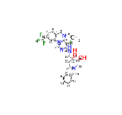 CCN(Cc1ccc(C(F)(F)F)cc1)c1ncnc(NC[C@@]2(O)CCN(Cc3ccccc3)C[C@@H]2O)c1F